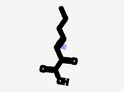 CCC/C=C/C(=O)C(=O)O